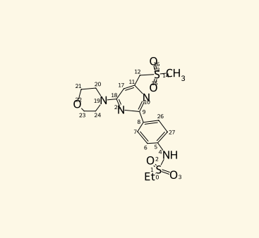 CCS(=O)(=O)Nc1ccc(-c2nc(CS(C)(=O)=O)cc(N3CCOCC3)n2)cc1